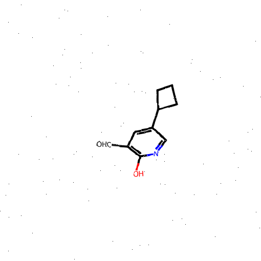 O=Cc1cc(C2CCC2)cnc1O